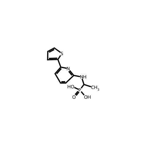 CC(Nc1cccc(-c2cccs2)n1)P(=O)(O)O